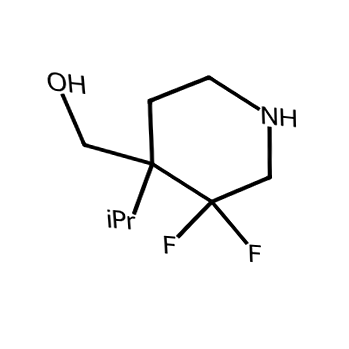 CC(C)C1(CO)CCNCC1(F)F